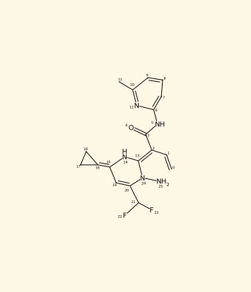 C=C/C(C(=O)Nc1cccc(C)n1)=C1/NC(=C2CC2)C=C(C(F)F)N1N